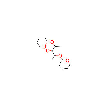 CC(OC1CCCCO1)C(=O)C(C)OC1CCCCO1